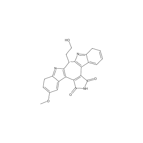 COC1=CCC2=NC(CCCO)=C(C3=C(C4=C(C)N=C5CC=CC=C54)C(=O)NC3=O)C2=C1